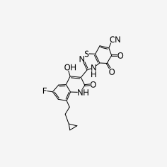 N#Cc1cc2snc(-c3c(O)c4cc(F)cc(CCC5CC5)c4[nH]c3=O)[nH]c=2c(=O)c1=O